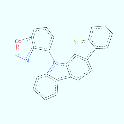 c1cc(-n2c3ccccc3c3ccc4c5ccccc5sc4c32)c2ncoc2c1